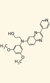 COc1cc(OC)cc(N(CCO)c2ccc3ncc(-c4ccncc4)nc3c2)c1